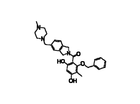 Cc1c(O)cc(O)c(C(=O)N2Cc3ccc(CN4CCN(C)CC4)cc3C2)c1OCc1ccccc1